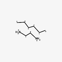 CCCCCC.NCCN